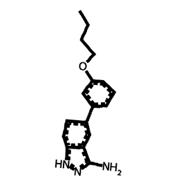 CCCCOc1cccc(-c2ccc3[nH]nc(N)c3c2)c1